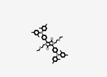 CCSCCN1C(=O)C2=C(c3ccc(N(c4ccc(C)cc4C)c4ccc(C)cc4C)cc3)N(CCSCC)C(=O)C2=C1c1ccc(N(c2ccc(C)cc2C)c2ccc(C)cc2C)cc1